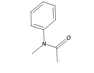 [CH2]C(=O)N(C)c1ccccc1